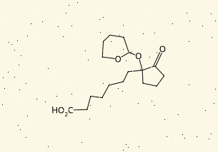 O=C(O)CCCCCCC1(OC2CCCCO2)CCCC1=O